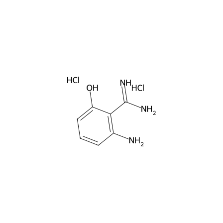 Cl.Cl.N=C(N)c1c(N)cccc1O